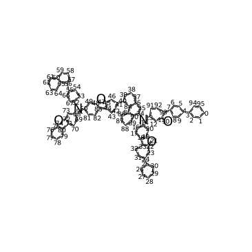 c1ccc(-c2ccc3c(c2)oc2cc(N(c4ccc5c(c4)oc4cc(-c6ccccc6)ccc45)c4cc5cccc(-c6ccc7c(c6)oc6cc(N(c8ccc(-c9cccc%10ccccc9%10)cc8)c8ccc9c(c8)oc8ccccc89)ccc67)c5c5ccccc45)ccc23)cc1